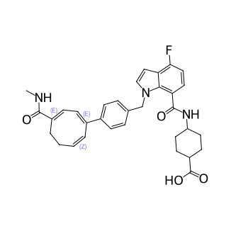 CNC(=O)/C1=C/C=C(c2ccc(Cn3ccc4c(F)ccc(C(=O)NC5CCC(C(=O)O)CC5)c43)cc2)\C=C/CC1